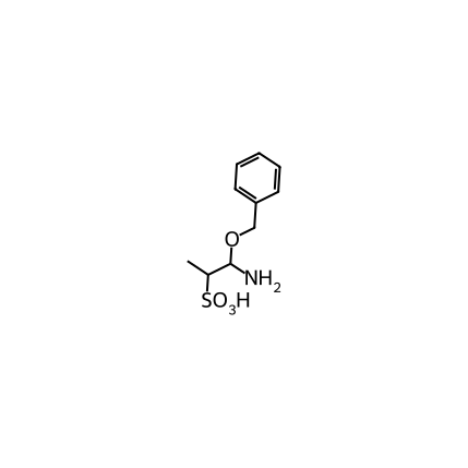 CC(C(N)OCc1ccccc1)S(=O)(=O)O